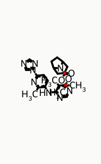 Cc1nc(-n2cncn2)ccc1Nc1ncnc(OC2CC3CCC(C2)N3C(=O)OC(C)C)c1C